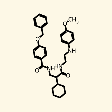 COc1ccc(NCCNC(=O)C(CNC(=O)c2ccc(OCc3ccccc3)cc2)C2CCCCC2)cc1